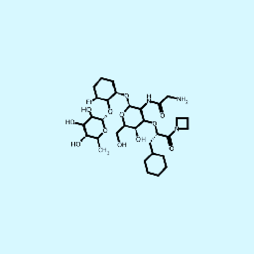 CCC1CCC[C@@H](O[C@@H]2OC(CO)[C@H](O)C(O[C@@H](CC3CCCCC3)C(=O)N3CCC3)C2NC(=O)CN)C1O[C@@H]1OC(C)[C@@H](O)C(O)C1O